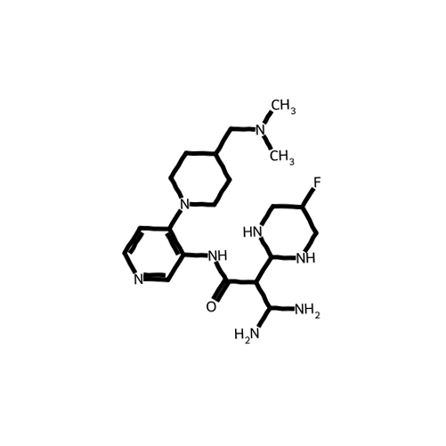 CN(C)CC1CCN(c2ccncc2NC(=O)C(C(N)N)C2NCC(F)CN2)CC1